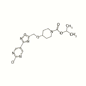 CC(C)OC(=O)N1CCC(OCc2nc(-c3cnc(Cl)nc3)no2)CC1